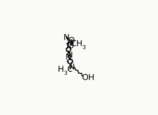 CN(CCCCCCO)c1ccc(N=Nc2ccc(C=C(C#N)S(C)(=O)=O)cc2)cc1